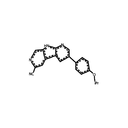 CC(C)Oc1ccc(-c2cnc3[nH]c4cnc(C#N)cc4c3c2)cc1